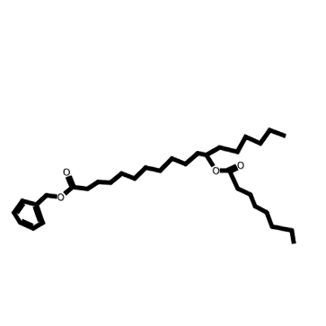 CCCCCCCC(=O)OC(CCCCCC)CCCCCCCCCCC(=O)OCc1ccccc1